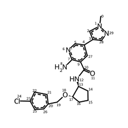 Cn1cc(-c2cnc(N)c(C(=O)N[C@H]3CCC[C@@H]3OCc3ccc(Cl)cc3)c2)cn1